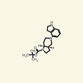 CC(C)(C)OC(=O)N1CC[C@H]2CN(c3cccc4c3CCN4)CC[C@H]21